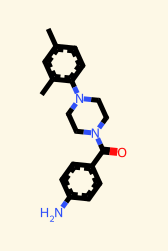 Cc1ccc(N2CCN(C(=O)c3ccc(N)cc3)CC2)c(C)c1